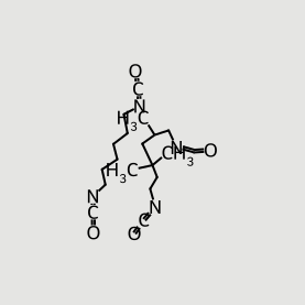 CC(CN=C=O)CC(C)(C)CCN=C=O.O=C=NCCCCCCN=C=O